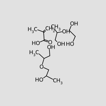 C=C(C)C(=O)O.CC(O)CO.CC(O)COC(C)CO.OCCO